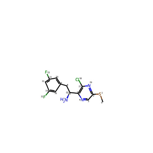 CSc1cnc([C@@H](N)Cc2cc(F)cc(F)c2)c(Cl)n1